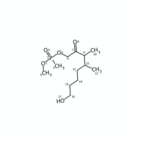 COP(C)(=O)OCC(=O)C(C)C(C)CCCCO